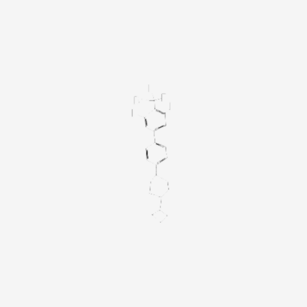 Fc1cc(-c2ccc(C3CCC(C4CCC4)CC3)cc2)cc(F)c1C(F)(F)Br